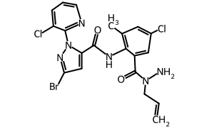 C=CCN(N)C(=O)c1cc(Cl)cc(C)c1NC(=O)c1cc(Br)nn1-c1ncccc1Cl